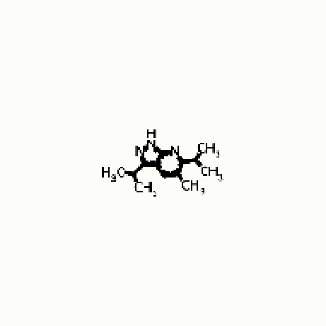 Cc1cc2c(C(C)C)n[nH]c2nc1C(C)C